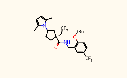 Cc1ccc(C)n1C1CC[C@](CC(F)(F)F)(C(=O)NCc2cc(C(F)(F)F)ccc2OC(C)(C)C)C1